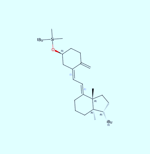 C=C1CC[C@H](O[Si](C)(C)C(C)(C)C)C/C1=C/C=C1\CCC[C@]2(C)[C@@H]([C@@H](C)CC)CC[C@@]12C